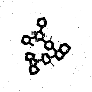 CC1C=CC=CC1C1N=C(C2C=CC(c3c(C4=CC=C(n5c6ccccc6c6ccccc65)C[C@H]4C)ccc4ccccc34)=C[C@H]2C)N=C(c2ccccc2)N1